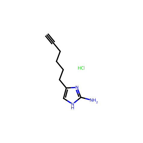 C#CCCCCc1c[nH]c(N)n1.Cl